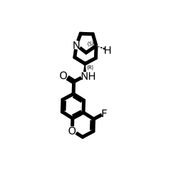 O=C(N[C@@H]1C[C@@H]2CCN(C2)C1)c1ccc2c(c1)C(F)=CCO2